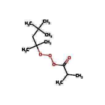 CC(C)C(=O)OOOC(C)(C)CC(C)(C)C